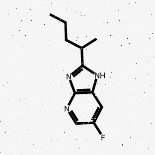 CCCC(C)c1nc2ncc(F)cc2[nH]1